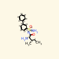 CC[C@H](C)[C@H](N)C(=O)N=S(N)(=O)c1cccc(-c2ccccc2)c1